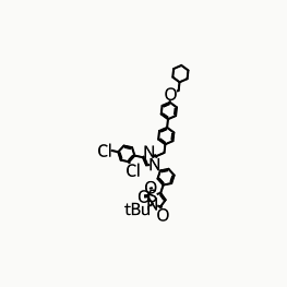 CC(C)(C)N1C(=O)C=C(c2cccc(-n3cc(-c4ccc(Cl)cc4Cl)nc3Cc3ccc(-c4ccc(OCC5CCCCC5)cc4)cc3)c2)S1(=O)=O